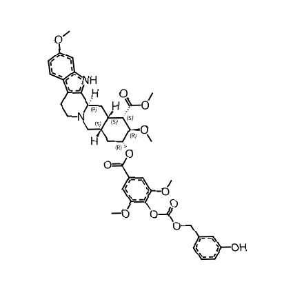 COC(=O)[C@H]1[C@H]2C[C@@H]3c4[nH]c5cc(OC)ccc5c4CCN3C[C@H]2C[C@@H](OC(=O)c2cc(OC)c(OC(=O)OCc3cccc(O)c3)c(OC)c2)[C@@H]1OC